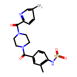 Cc1cc(C(=O)N2CCN(C(=O)c3ccc(C(F)(F)F)cn3)CC2)ccc1N[SH](=O)=O